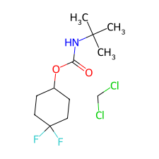 CC(C)(C)NC(=O)OC1CCC(F)(F)CC1.ClCCl